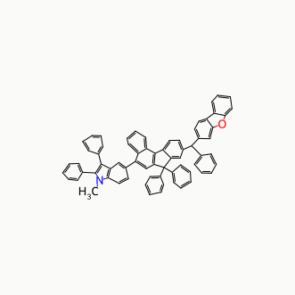 Cn1c(-c2ccccc2)c(-c2ccccc2)c2cc(-c3cc4c(c5ccccc35)-c3ccc(C(c5ccccc5)c5ccc6c(c5)oc5ccccc56)cc3C4(c3ccccc3)c3ccccc3)ccc21